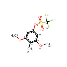 COc1cc(OS(=O)(=O)C(F)(F)F)cc(OC)c1C